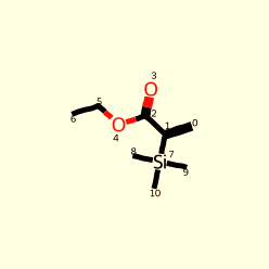 C=C(C(=O)OCC)[Si](C)(C)C